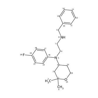 CC1(C)CC(N(CCNCc2ccccc2)c2ccc(F)cc2)CCO1